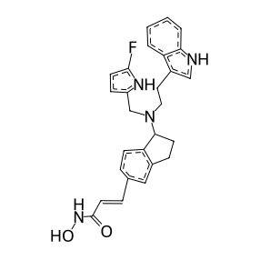 O=C(/C=C/c1ccc2c(c1)CCC2N(CCc1c[nH]c2ccccc12)Cc1ccc(F)[nH]1)NO